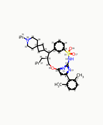 Cc1cccc(C)c1-c1cc2nc(n1)NS(=O)(=O)c1cccc(c1)C(C1CC3(CCN(C(C)C)CC3)C1)[C@H](CC(C)C)CO2